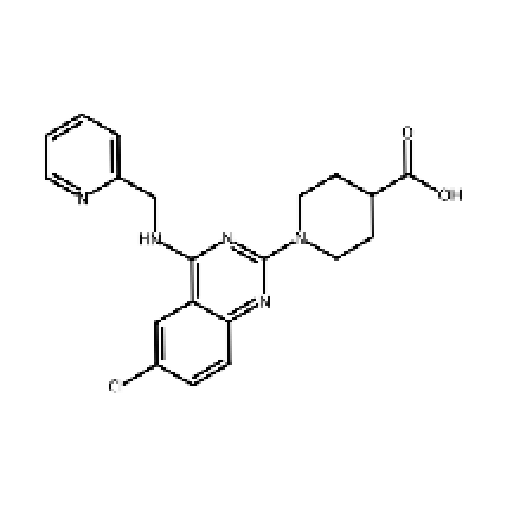 O=C(O)C1CCN(c2nc(NCc3ccccn3)c3cc(Cl)ccc3n2)CC1